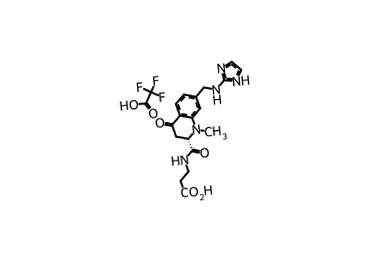 CN1c2cc(CNc3ncc[nH]3)ccc2C(=O)C[C@H]1C(=O)NCCC(=O)O.O=C(O)C(F)(F)F